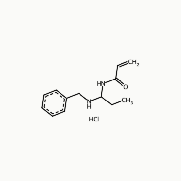 C=CC(=O)NC(CC)NCc1ccccc1.Cl